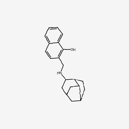 Oc1c(CNC2CC3CC4CCC2C(C4)C3)ccc2ccccc12